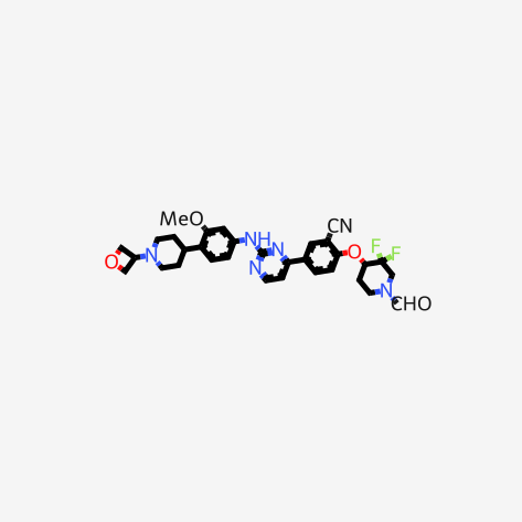 COc1cc(Nc2nccc(-c3ccc(OC4CCN(C=O)CC4(F)F)c(C#N)c3)n2)ccc1C1CCN(C2COC2)CC1